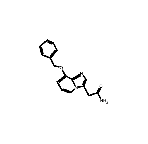 NC(=O)Cc1cnc2c(OCc3ccccc3)cccn12